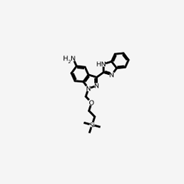 C[Si](C)(C)CCOCn1nc(-c2nc3ccccc3[nH]2)c2cc(N)ccc21